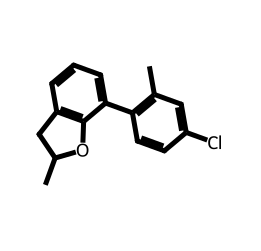 Cc1cc(Cl)ccc1-c1cccc2c1OC(C)C2